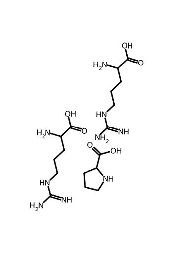 N=C(N)NCCCC(N)C(=O)O.N=C(N)NCCCC(N)C(=O)O.O=C(O)C1CCCN1